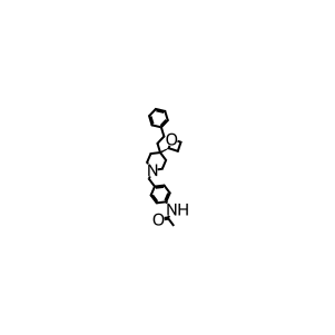 CC(=O)Nc1ccc(CN2CCC(CCc3ccccc3)([C@@H]3CCO3)CC2)cc1